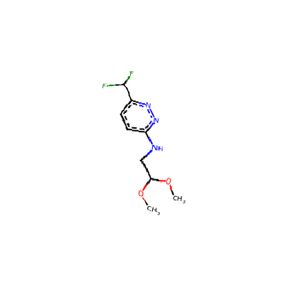 COC(CNc1ccc(C(F)F)nn1)OC